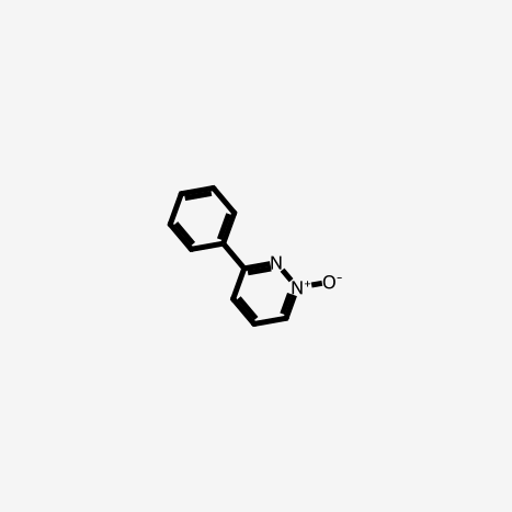 [O-][n+]1cccc(-c2ccccc2)n1